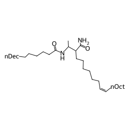 CCCCCCCC/C=C\CCCCCCC(C(N)=O)C(C)NC(=O)CCCCCCCCCCCCCCC